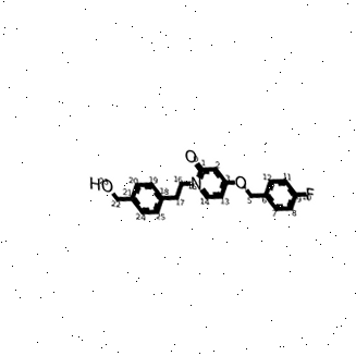 O=c1cc(OCc2ccc(F)cc2)ccn1CCc1ccc(CO)cc1